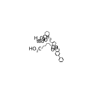 CC(C)(C)[Si](C)(C)O[C@@H](CCC1=CC[C@H](OC(=O)c2ccc(-c3ccccc3)cc2)[C@]1(C)CCCCCCC(=O)O)C1CCCCC1